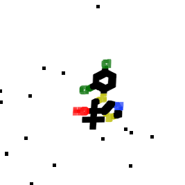 CC(C)(C)C(O)(CSc1ccc(Cl)cc1Cl)c1cncs1